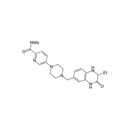 CCC1Nc2ccc(CN3CCN(c4ccc(C(=O)NC)nc4)CC3)cc2NC1=O